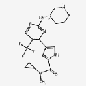 CN(C(=O)c1cc(-c2nc(N[C@H]3CCCNC3)ncc2C(F)(F)F)c[nH]1)C1CC1